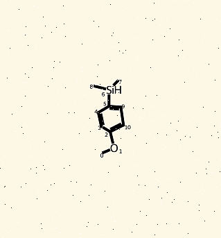 COc1ccc([SiH](C)C)cc1